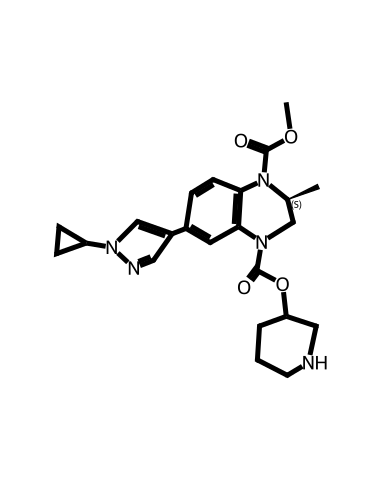 COC(=O)N1c2ccc(-c3cnn(C4CC4)c3)cc2N(C(=O)OC2CCCNC2)C[C@@H]1C